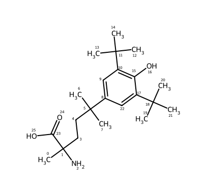 CC(N)(CCC(C)(C)c1cc(C(C)(C)C)c(O)c(C(C)(C)C)c1)C(=O)O